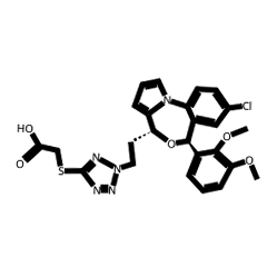 COc1cccc([C@H]2O[C@H](CCn3nnc(SCC(=O)O)n3)c3cccn3-c3ccc(Cl)cc32)c1OC